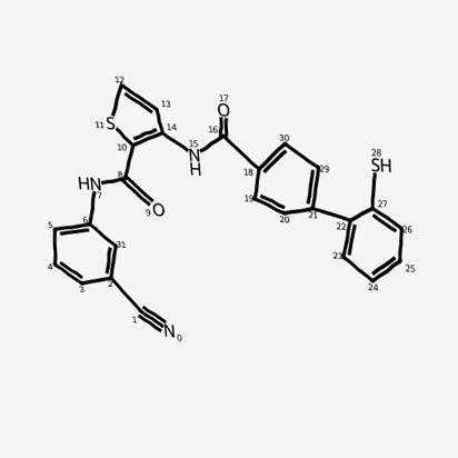 N#Cc1cccc(NC(=O)c2sccc2NC(=O)c2ccc(-c3ccccc3S)cc2)c1